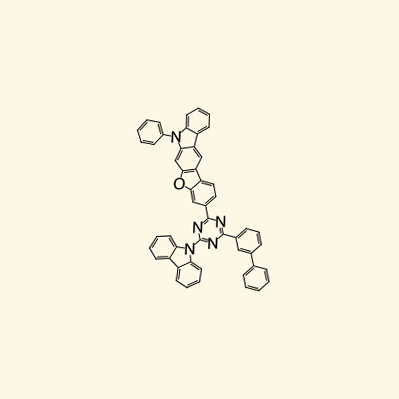 c1ccc(-c2cccc(-c3nc(-c4ccc5c(c4)oc4cc6c(cc45)c4ccccc4n6-c4ccccc4)nc(-n4c5ccccc5c5ccccc54)n3)c2)cc1